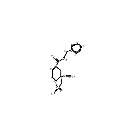 N#CC1(CS(=O)(=O)F)CCCN(C(=O)OCc2ccccc2)C1